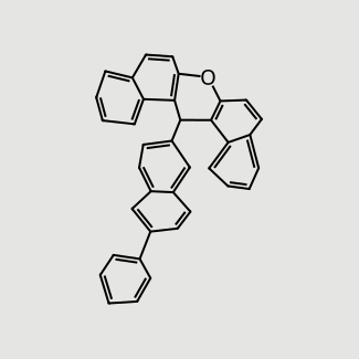 c1ccc(-c2ccc3cc(C4c5c(ccc6ccccc56)Oc5ccc6ccccc6c54)ccc3c2)cc1